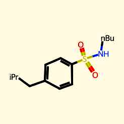 CCCCNS(=O)(=O)c1ccc(CC(C)C)cc1